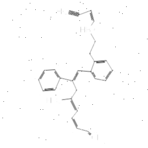 C#C/C=C\BCCc1ccccc1/C=C(\C/C(C)=C/C=C\C=C)c1ccccc1